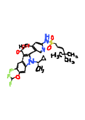 Cc1cc(NS(=O)(=O)CC=CC(C)(C)C)ncc1-c1c(C(=O)O)c2cc(F)c(OC(F)F)cc2n1C(C)C1CC1